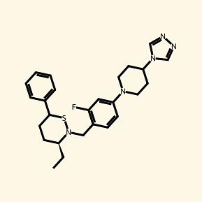 CC[C@H]1CCC(c2ccccc2)SN1Cc1ccc(N2CCC(n3cnnc3)CC2)cc1F